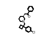 O=C(C[C@@H]1CCCN(CC2(c3ccc(Cl)cc3)CCC2)C1)c1ccccc1